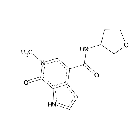 Cn1cc(C(=O)NC2CCOC2)c2cc[nH]c2c1=O